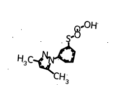 Cc1cc(C)n(-c2cccc(SOOO)c2)n1